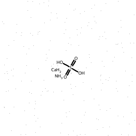 N.O=S(=O)(O)O.[CaH2]